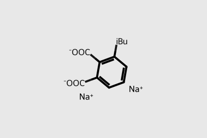 CCC(C)c1cccc(C(=O)[O-])c1C(=O)[O-].[Na+].[Na+]